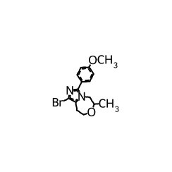 COc1ccc(-c2nc(Br)c3n2CC(C)OCC3)cc1